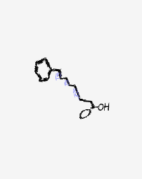 O=C(O)C/C=C/C=C/C=C/c1ccccc1